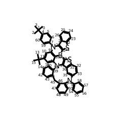 CC(C)(C)c1ccc(N2c3cc(C(C)(C)C)cc4c3B(c3sc5ccccc5c32)c2sc3ccc5cc3c2N4c2ccccc2Cc2ccccc2N5c2ccccc2)cc1